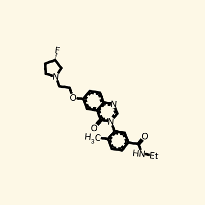 CCNC(=O)c1ccc(C)c(-n2cnc3ccc(OCCN4CC[C@H](F)C4)cc3c2=O)c1